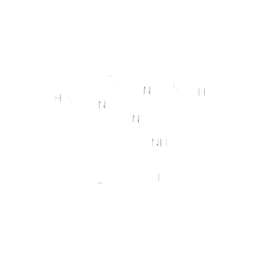 COc1cc(Nc2ccc(F)cc2F)nc(-c2nc(C)cs2)n1